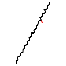 CCCCCCCCCCCCCCCCCCCCCCC(=O)CCCCCCCCC